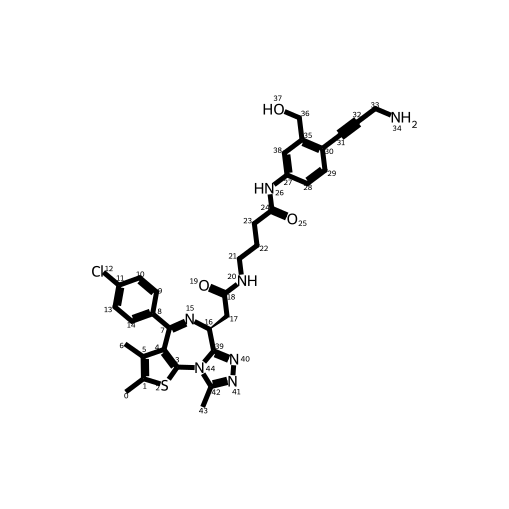 Cc1sc2c(c1C)C(c1ccc(Cl)cc1)=N[C@@H](CC(=O)NCCCC(=O)Nc1ccc(C#CCN)c(CO)c1)c1nnc(C)n1-2